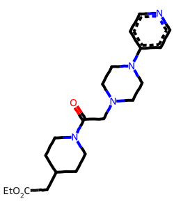 CCOC(=O)CC1CCN(C(=O)CN2CCN(c3ccncc3)CC2)CC1